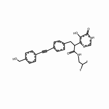 O=C(NCC(F)F)C(Cc1ccc(C#Cc2ccc(CO)cc2)cc1)c1nc[nH]c(=O)c1O